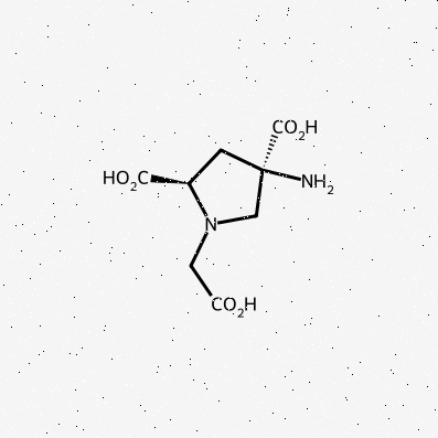 N[C@]1(C(=O)O)C[C@H](C(=O)O)N(CC(=O)O)C1